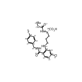 CC(C)(C)OC(=O)N[C@@H](CCCNc1nc(Cl)ncc1C(=O)NCc1ccc(F)cc1)C(=O)O